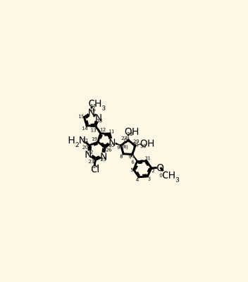 COc1cccc([C@H]2C[C@@H](n3cc(-c4ccn(C)n4)c4c(N)nc(Cl)nc43)[C@H](O)[C@@H]2O)c1